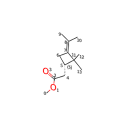 COC(=O)C[C@@H]1CC(=C(C)C)C1(C)C